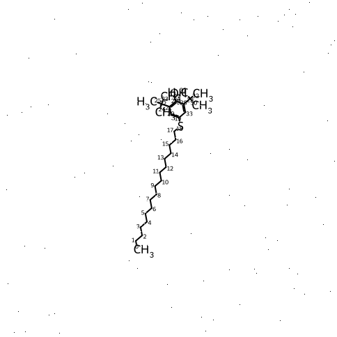 CCCCCCCCCCCCCCCCCCSc1cc(C(C)(C)C)c(O)c(C(C)(C)C)c1